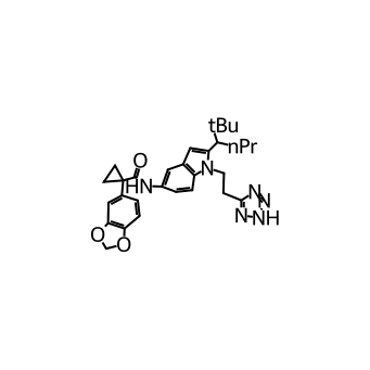 CCCC(c1cc2cc(NC(=O)C3(c4ccc5c(c4)OCO5)CC3)ccc2n1CCc1nn[nH]n1)C(C)(C)C